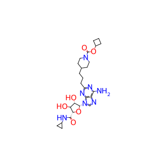 Nc1nc(CCCC2CCN(C(=O)OC3CCC3)CC2)nc2c1ncn2[C@@H]1O[C@H](C(=O)NC2CC2)C(O)[C@@H]1O